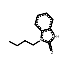 [CH2]CCCn1c(=O)[nH]c2ccccc21